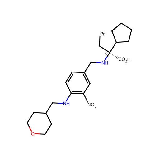 CC(C)C[C@@](NCc1ccc(NCC2CCOCC2)c([N+](=O)[O-])c1)(C(=O)O)C1CCCC1